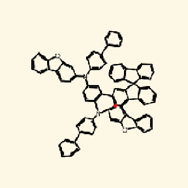 c1ccc(-c2ccc(N(c3ccc(N(c4ccc(-c5ccccc5)cc4)c4ccc5c(c4)oc4ccccc45)c(-c4ccc5c(c4)C4(c6ccccc6-c6ccccc64)c4ccccc4-5)c3)c3ccc4c(c3)oc3ccccc34)cc2)cc1